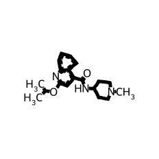 CC(C)Oc1cc(C(=O)NC2CCN(C)CC2)c2ccccc2n1